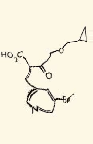 O=C(O)C(=Cc1cncc(Br)c1)C(=O)COCC1CC1